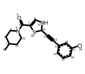 CC1CCN(C(=O)C2=CNC(C#Cc3cccc(Cl)c3)S2)CC1